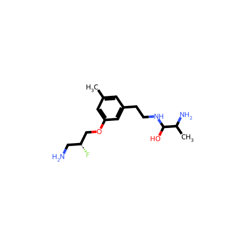 Cc1cc(CCNC(O)C(C)N)cc(OC[C@H](F)CN)c1